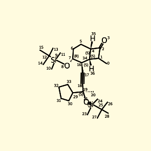 CC1C(=O)[C@H]2CC[C@@H](O[Si](C)(C)C(C)(C)C)[C@H](C#C[C@@](C)(O[Si](C)(C)C(C)(C)C)C3CCCC3)[C@@H]12